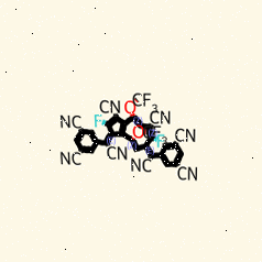 N#CC1=C(F)/C(=C(/C#N)c2cc(C#N)cc(C#N)c2)C2=C1/C(OC(F)(F)F)=C/C(C#N)=C(F)\C(=C(\C#N)c1cc(C#N)cc(C#N)c1)\C=C\2OC(F)(F)F